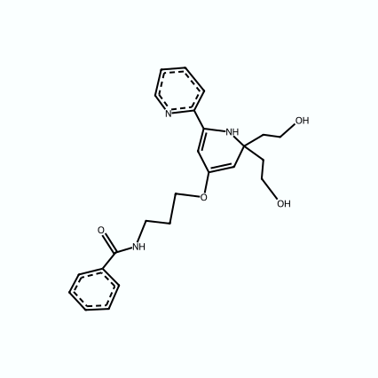 O=C(NCCCOC1=CC(CCO)(CCO)NC(c2ccccn2)=C1)c1ccccc1